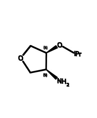 CC(C)O[C@@H]1COC[C@@H]1N